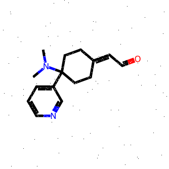 CN(C)C1(c2cccnc2)CCC(=CC=O)CC1